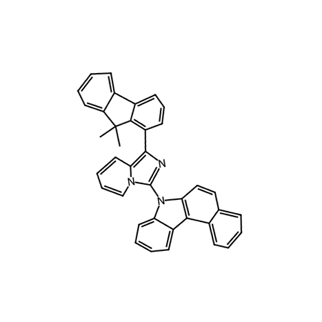 CC1(C)c2ccccc2-c2cccc(-c3nc(-n4c5ccccc5c5c6ccccc6ccc54)n4ccccc34)c21